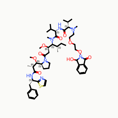 CC[C@H](C)[C@@H]([C@@H](CC(=O)N1CCC[C@H]1[C@H](OC)[C@@H](C)C(=O)N[C@@H](Cc1ccccc1)c1nccs1)OC)N(C)C(=O)[C@@H](NC(=O)[C@H](C(C)C)N(C)CCOCCON1C(=O)c2ccccc2C1O)C(C)C